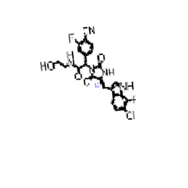 N#Cc1ccc(C(C(=O)NCCO)N2C(=O)N/C(=C\c3c[nH]c4c(F)c(Cl)ccc34)C2=O)cc1F